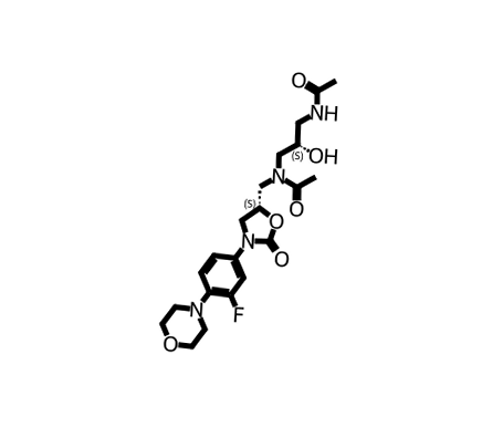 CC(=O)NC[C@H](O)CN(C[C@H]1CN(c2ccc(N3CCOCC3)c(F)c2)C(=O)O1)C(C)=O